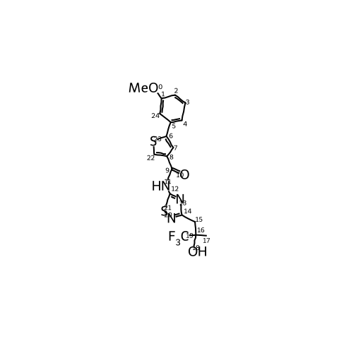 COc1cccc(-c2cc(C(=O)Nc3nc(CC(C)(O)C(F)(F)F)ns3)cs2)c1